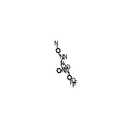 N#Cc1ccc(Cn2cncc2CN2CCC3(CC2)C(=O)N(Cc2cccc(OC(F)(F)F)c2)CN3c2ccccc2)cc1